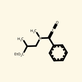 CCOC(=O)C(C)CN(C)C(=C=O)c1ccccc1